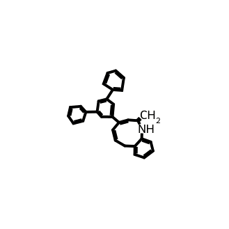 C=C1/C=C(c2cc(-c3ccccc3)cc(-c3ccccc3)c2)\C=C/Cc2ccccc2N1